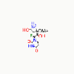 CO[C@](CN)(CCO)[C@@H](O)[C@@H](F)n1ccc(=O)[nH]c1=O